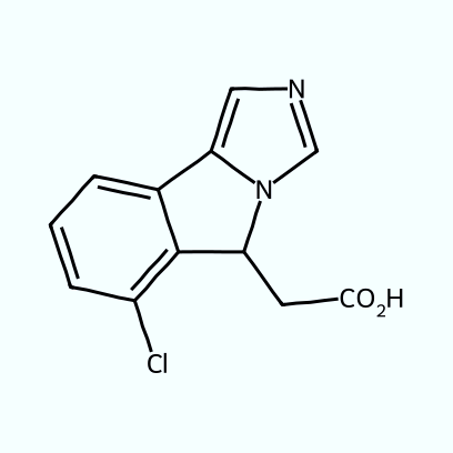 O=C(O)CC1c2c(Cl)cccc2-c2cncn21